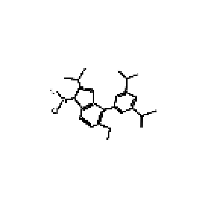 CCc1ccc2c(c1-c1cc(C(C)C)cc(C(C)C)c1)C=C(C(C)C)[CH]2[Zr]([Cl])[Cl]